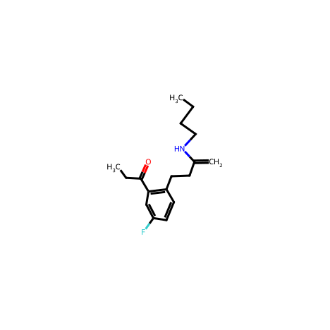 C=C(CCc1ccc(F)cc1C(=O)CC)NCCCC